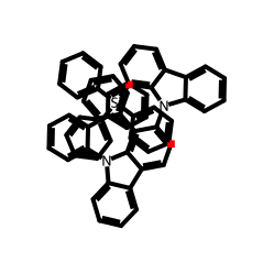 c1ccc(-c2ccccc2-n2c3ccccc3c3ccc(-n4c5ccccc5c5cccc([Si](c6ccccc6)(c6ccccc6)c6ccccc6)c54)c(-c4ccccc4)c32)cc1